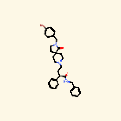 O=C(NCc1ccccc1)C(CCN1CCC2(CC1)CCN(Cc1ccc(Br)cc1)C2=O)c1ccccc1